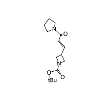 CC(C)(C)OC(=O)N1CC(/C=C/C(=O)N2CCCC2)C1